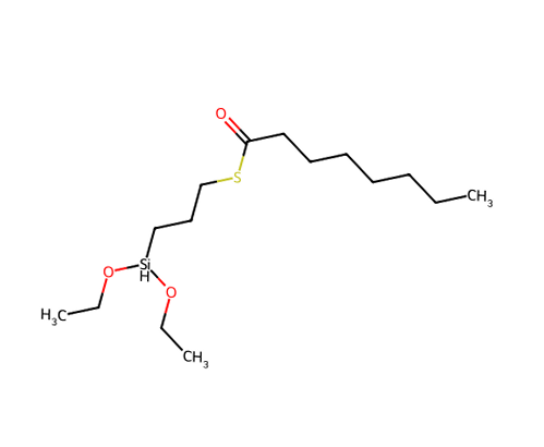 CCCCCCCC(=O)SCCC[SiH](OCC)OCC